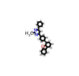 Cc1nc(-c2ccccc2)cc(-c2ccc(-c3cccc4c3oc3ccccc34)cc2)n1